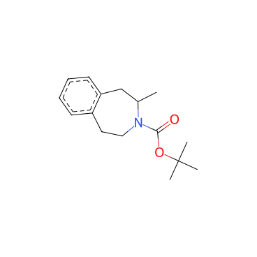 CC1Cc2ccccc2CCN1C(=O)OC(C)(C)C